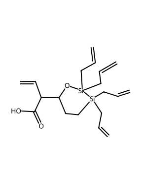 C=CC[Si]1(CC=C)CCC(C(C=C)C(=O)O)O[Si]1(CC=C)CC=C